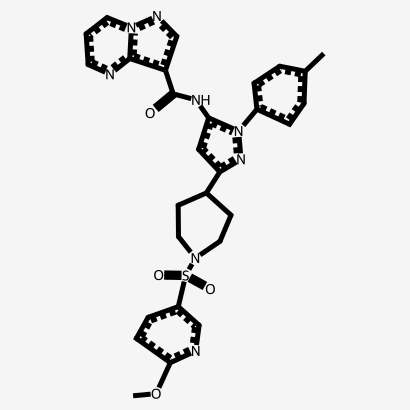 COc1ccc(S(=O)(=O)N2CCC(c3cc(NC(=O)c4cnn5cccnc45)n(-c4ccc(C)cc4)n3)CC2)cn1